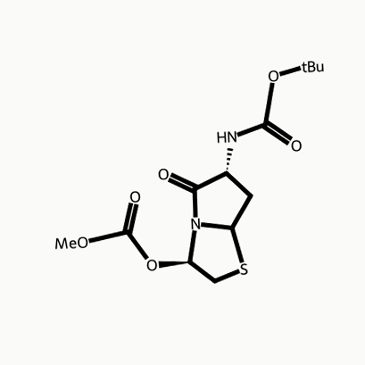 COC(=O)O[C@@H]1CSC2C[C@@H](NC(=O)OC(C)(C)C)C(=O)N21